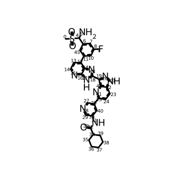 CS(=O)(=O)C(N)c1cc(F)cc(-c2ccnc3[nH]c(-c4n[nH]c5ccc(-c6cncc(NC(=O)C7CCCCC7)c6)nc45)nc23)c1